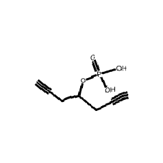 C#CCC(CC#C)OP(=O)(O)O